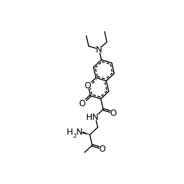 CCN(CC)c1ccc2cc(C(=O)NC[C@H](N)C(C)=O)c(=O)oc2c1